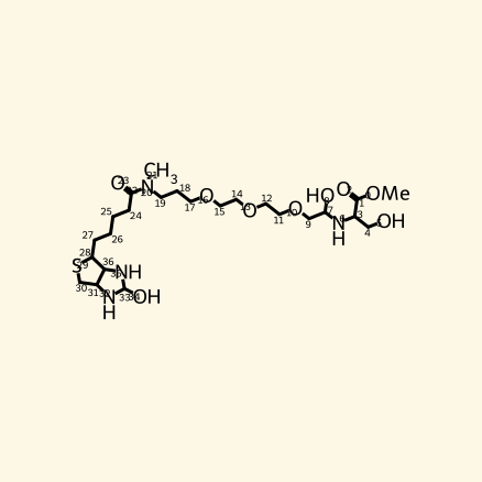 COC(=O)C(CO)NC(O)COCCOCCOCCCN(C)C(=O)CCCCC1SCC2NC(O)NC21